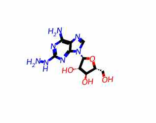 NNc1nc(N)c2ncn([C@@H]3O[C@H](CO)[C@@H](O)[C@@H]3O)c2n1